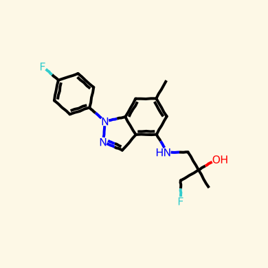 Cc1cc(NCC(C)(O)CF)c2cnn(-c3ccc(F)cc3)c2c1